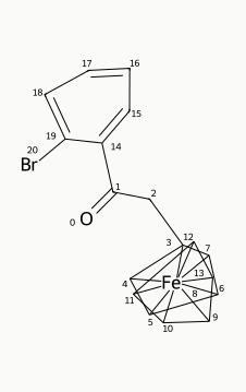 O=C(C[C]12[CH]3[CH]4[CH]5[CH]1[Fe]45321678[CH]2[CH]1[CH]6[CH]7[CH]28)c1ccccc1Br